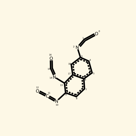 O=C=Nc1ccc2ccc(N=C=O)c(N=C=O)c2c1